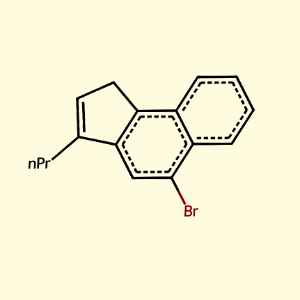 CCCC1=CCc2c1cc(Br)c1ccccc21